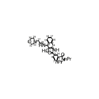 CCCN(CCC)C(=O)c1cccc(C(=O)N[C@@H](Cc2ccccc2)[C@H](O)CNCCCN2CCOCC2)c1